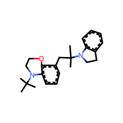 CC(C)(C)N1CCOc2c(CC(C)(C)N3CCc4ccccc43)cccc21